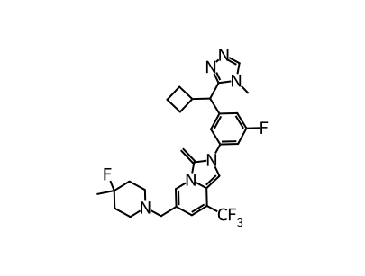 C=C1N2C=C(CN3CCC(C)(F)CC3)C=C(C(F)(F)F)C2=CN1c1cc(F)cc(C(c2nncn2C)C2CCC2)c1